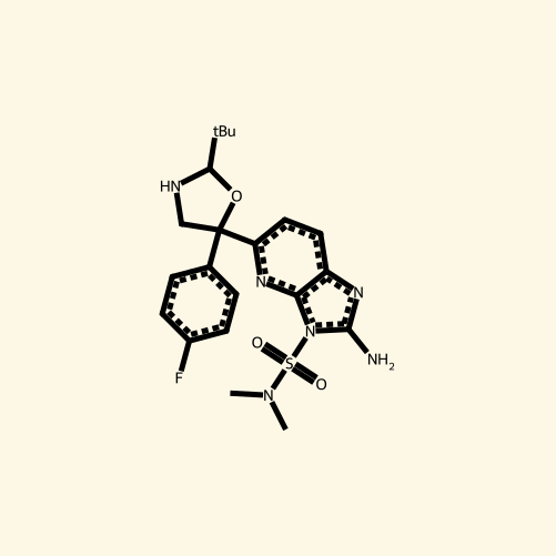 CN(C)S(=O)(=O)n1c(N)nc2ccc(C3(c4ccc(F)cc4)CNC(C(C)(C)C)O3)nc21